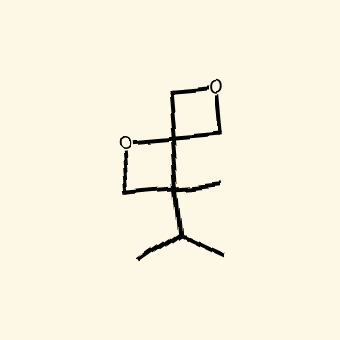 CC(C)C1(C)COC12COC2